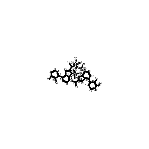 Cc1cccc(-c2cccc3c2C=C(C(C)C)[CH]3[Zr]([Cl])([Cl])([BH]N([Si](C)(C)C)[Si](C)(C)C)[CH]2C(C(C)C)=Cc3c(-c4cccc(C)c4C)cccc32)c1C